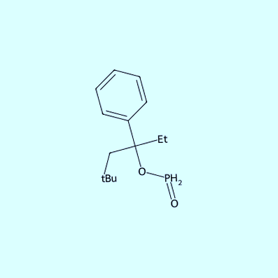 CCC(CC(C)(C)C)(O[PH2]=O)c1ccccc1